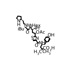 CCCCCCN(C(=O)[C@@H](NCC[C@@H]1CCCN1)[C@@H](C)CC)[C@H](C[C@@H](OC(C)=O)c1nc(C(=O)N[C@@H](Cc2ccc(O)cc2)CC(C)(C)C(=O)O)cs1)C(C)C